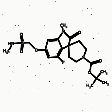 CNS(=O)(=O)COc1cc(F)c2c(c1)N(C)C(=O)C21CCN(C(=O)OC(C)(C)C)CC1